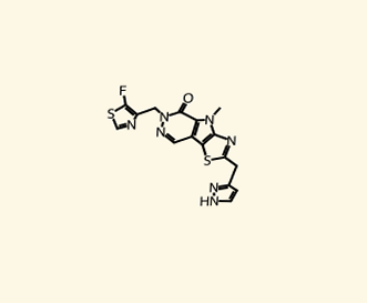 Cn1c2nc(Cc3cc[nH]n3)sc2c2cnn(Cc3ncsc3F)c(=O)c21